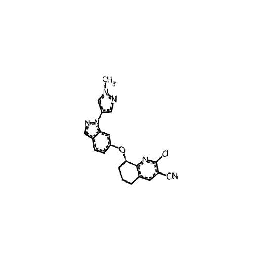 Cn1cc(-n2ncc3ccc(O[C@@H]4CCCc5cc(C#N)c(Cl)nc54)cc32)cn1